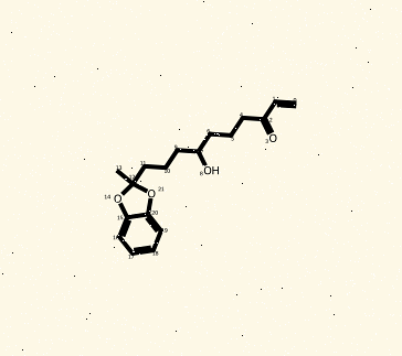 C=CC(=O)CCCC(O)CCCC1(C)Oc2ccccc2O1